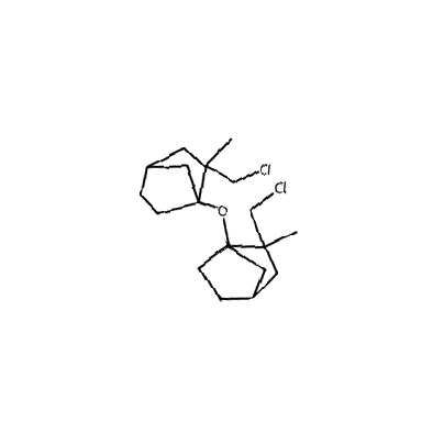 CC1(CCl)CC2CCC1(OC13CCC(CC1(C)CCl)C3)C2